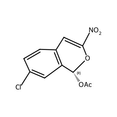 CC(=O)O[C@H]1OC([N+](=O)[O-])=Cc2ccc(Cl)cc21